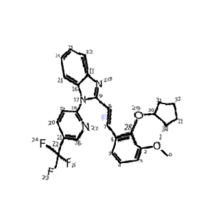 COc1cccc(/C=C/c2nc3ccccc3n2-c2ccc(C(F)(F)F)cn2)c1OC1CCCC1